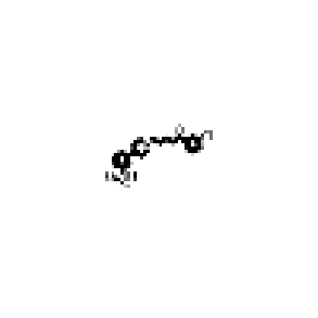 CC(C)C(=O)Nc1cccc(C2CCN(CCCCC(=O)c3cccc(Cl)c3)CC2)c1